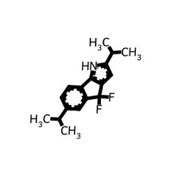 CC(C)c1ccc2c(c1)C(F)(F)c1cc(C(C)C)[nH]c1-2